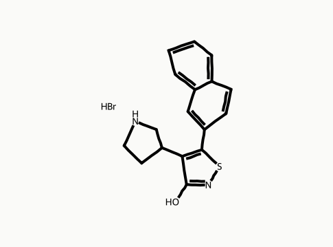 Br.Oc1nsc(-c2ccc3ccccc3c2)c1C1CCNC1